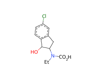 CCN(C(=O)O)C1Cc2cc(Cl)ccc2C1O